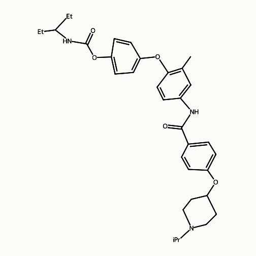 CCC(CC)NC(=O)Oc1ccc(Oc2ccc(NC(=O)c3ccc(OC4CCN(C(C)C)CC4)cc3)cc2C)cc1